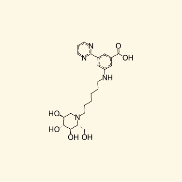 O=C(O)c1cc(NCCCCCCN2C[C@H](O)[C@@H](O)[C@H](O)[C@H]2CO)cc(-c2ncccn2)c1